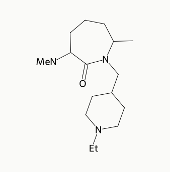 CCN1CCC(CN2C(=O)C(NC)CCCC2C)CC1